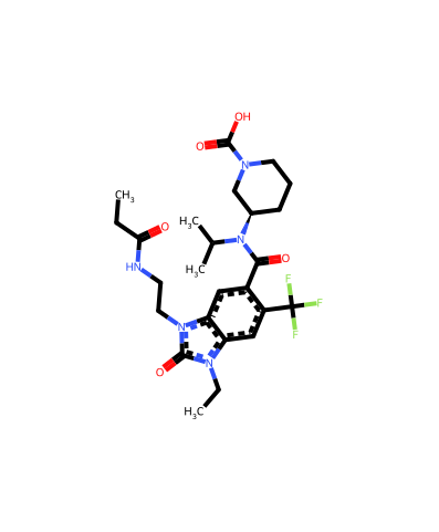 CCC(=O)NCCn1c(=O)n(CC)c2cc(C(F)(F)F)c(C(=O)N(C(C)C)[C@@H]3CCCN(C(=O)O)C3)cc21